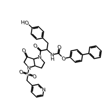 O=C(NC(Cc1ccc(O)cc1)C(=O)N1CCC2C1C(=O)CN2S(=O)(=O)Cc1cccnc1)Oc1ccc(-c2ccccc2)cc1